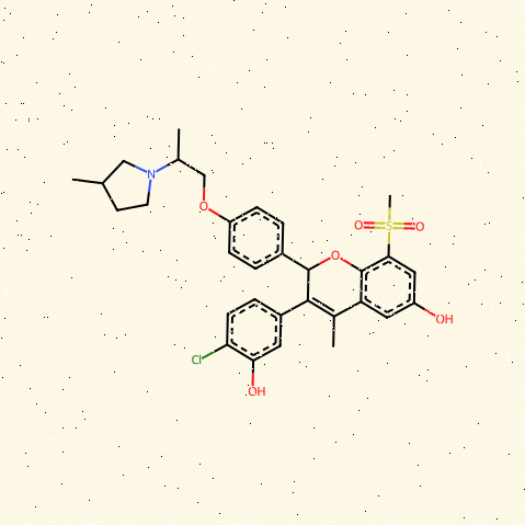 CC1=C(c2ccc(Cl)c(O)c2)C(c2ccc(OCC(C)N3CCC(C)C3)cc2)Oc2c1cc(O)cc2S(C)(=O)=O